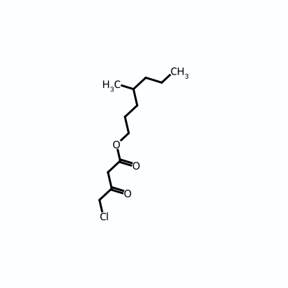 CCCC(C)CCCOC(=O)CC(=O)CCl